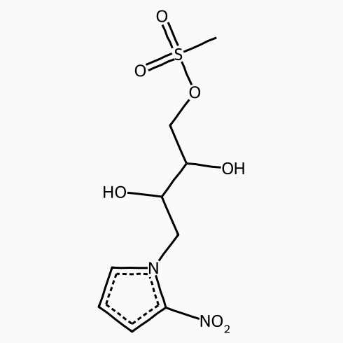 CS(=O)(=O)OCC(O)C(O)Cn1cccc1[N+](=O)[O-]